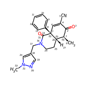 C[C@@H]1C(=O)C(C#N)=C[C@@]2(c3ccccc3)C(=O)N(Cc3cnn(C)c3)CC[C@@H]12